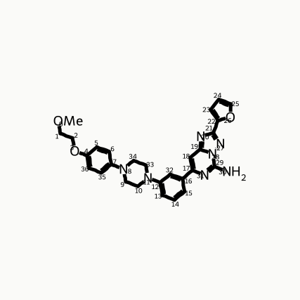 COCCOc1ccc(N2CCN(c3cccc(-c4cc5nc(-c6ccco6)nn5c(N)n4)c3)CC2)cc1